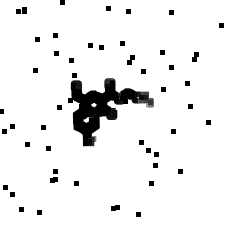 CCOC(=O)c1cc(C=O)c2ccc(Br)cn2c1=O